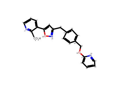 O=C(O)c1ncccc1-c1cc(Cc2ccc(COc3ccccn3)cc2)no1